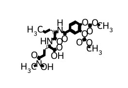 CCC[C@H](NC(=O)c1ccc(OC(=O)OC)c(OC(=O)OC)c1)C(=O)N[C@@H](CCC(=O)N(C)O)C(=O)O